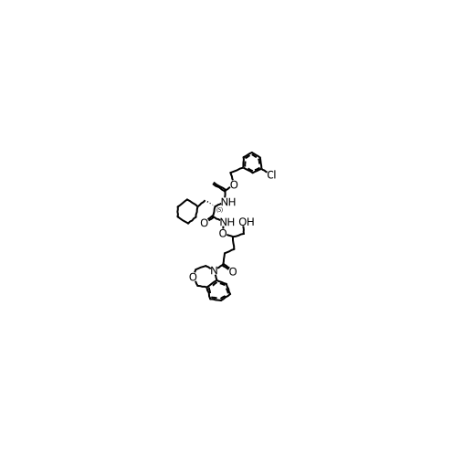 C=C(N[C@@H](CC1CCCCC1)C(=O)NOC(CO)CCC(=O)N1CCOCc2ccccc21)OCc1cccc(Cl)c1